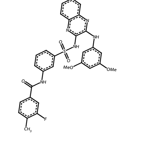 COc1cc(Nc2nc3ccccc3nc2NS(=O)(=O)c2cccc(NC(=O)c3ccc(C)c(F)c3)c2)cc(OC)c1